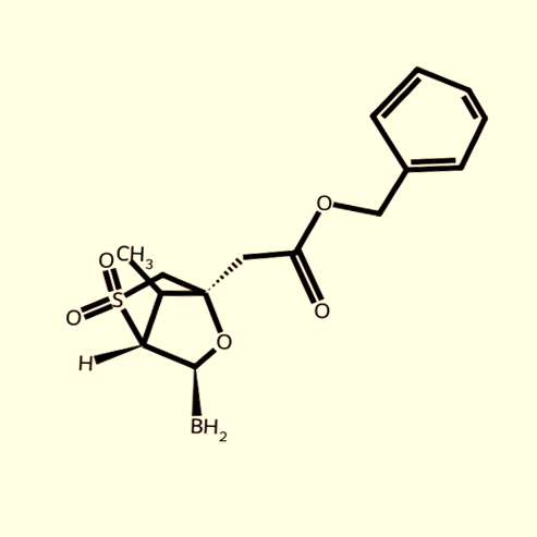 B[C@@H]1O[C@]2(CC(=O)OCc3ccccc3)CS(=O)(=O)[C@@H]1C2C